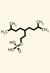 CC(C)CCC(CCOP(=O)(O)O)CCC(C)C